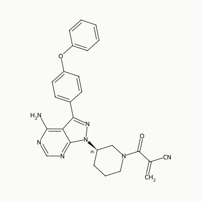 C=C(C#N)C(=O)N1CCC[C@@H](n2nc(-c3ccc(Oc4ccccc4)cc3)c3c(N)ncnc32)C1